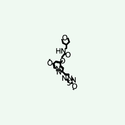 COc1cc(OCC(=O)NCC2CCOCC2)c2cc(-c3cn4nc(OC)sc4n3)nn2c1